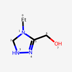 CCN1CNN=C1CO